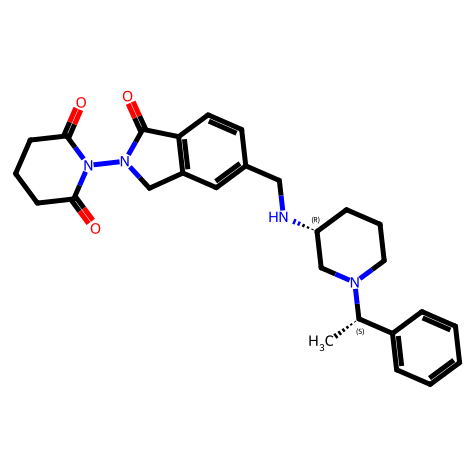 C[C@@H](c1ccccc1)N1CCC[C@@H](NCc2ccc3c(c2)CN(N2C(=O)CCCC2=O)C3=O)C1